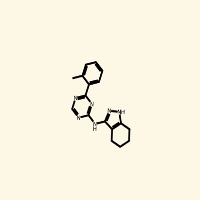 Cc1ccccc1-c1ncnc(Nc2n[nH]c3c2CCCC3)n1